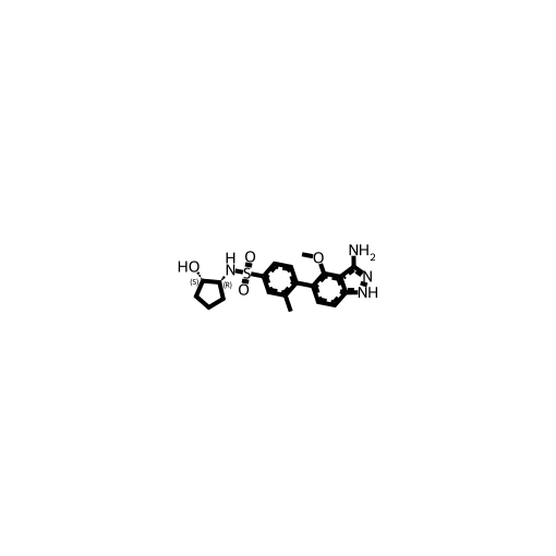 COc1c(-c2ccc(S(=O)(=O)N[C@@H]3CCC[C@@H]3O)cc2C)ccc2[nH]nc(N)c12